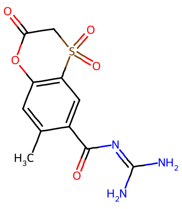 Cc1cc2c(cc1C(=O)N=C(N)N)S(=O)(=O)CC(=O)O2